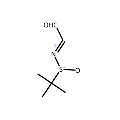 CC(C)(C)[S+]([O-])/N=C/C=O